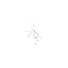 CCCC(C)(O)C1(C(C)(C)O)C(=C(O)[C@@H](NC(=O)OC(C)(C)C)C(C)C)C12OCC(C)(C)CO2